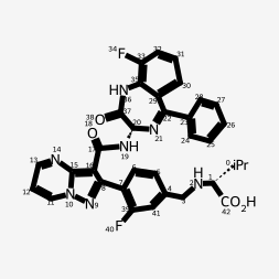 CC(C)[C@@H](NCc1ccc(-c2nn3cccnc3c2C(=O)N[C@H]2N=C(c3ccccc3)c3cccc(F)c3NC2=O)c(F)c1)C(=O)O